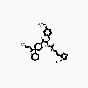 CCCC(=O)C1(C2CCCCC2)CCN(C(=O)[C@@H](Cc2ccc(OC)cc2)NC(=O)NCCc2cncn2C)CC1